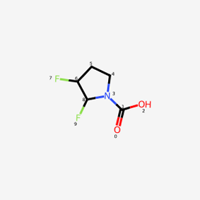 O=C(O)N1CCC(F)C1F